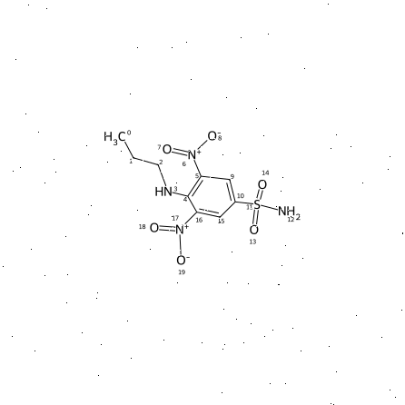 CCCNc1c([N+](=O)[O-])cc(S(N)(=O)=O)cc1[N+](=O)[O-]